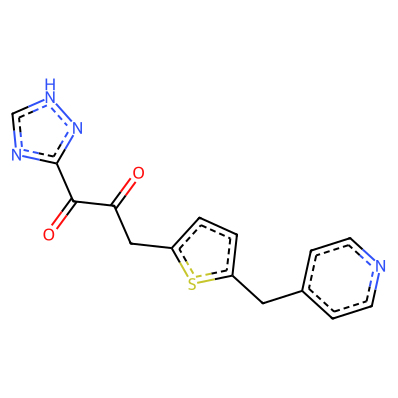 O=C(Cc1ccc(Cc2ccncc2)s1)C(=O)c1nc[nH]n1